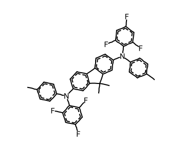 Cc1ccc(N(c2ccc3c(c2)C(C)(C)c2cc(N(c4ccc(C)cc4)c4c(F)cc(F)cc4F)ccc2-3)c2c(F)cc(F)cc2F)cc1